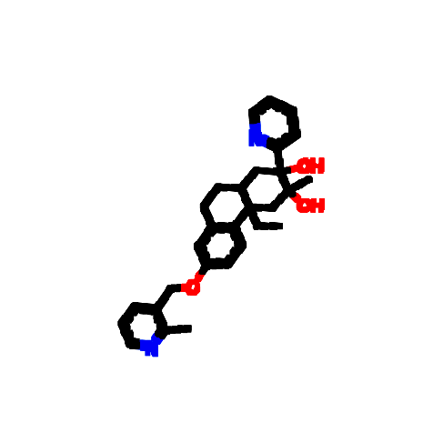 CCC12CC(C)(O)C(O)(c3ccccn3)CC1CCc1cc(OCc3cccnc3C)ccc12